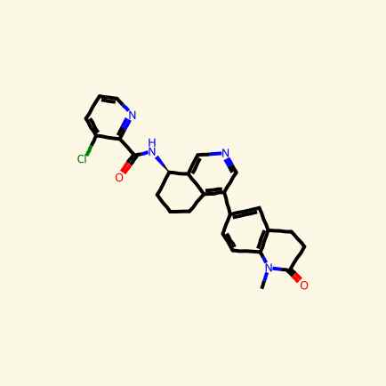 CN1C(=O)CCc2cc(-c3cncc4c3CCC[C@H]4NC(=O)c3ncccc3Cl)ccc21